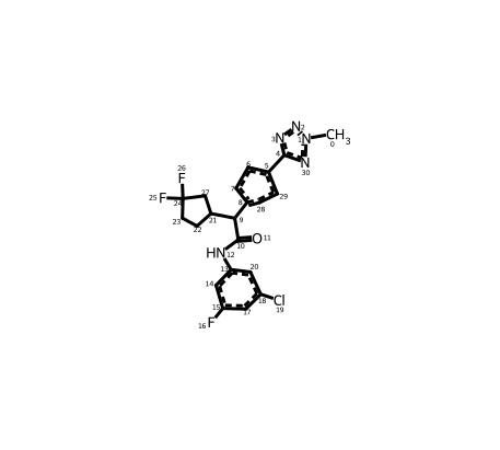 Cn1nnc(-c2ccc(C(C(=O)Nc3cc(F)cc(Cl)c3)C3CCC(F)(F)C3)cc2)n1